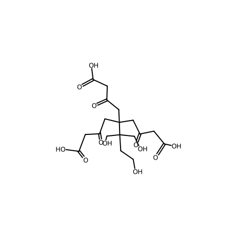 O=C(O)CC(=O)CC(CC(=O)CC(=O)O)(CC(=O)CC(=O)O)C(CO)(CO)CCO